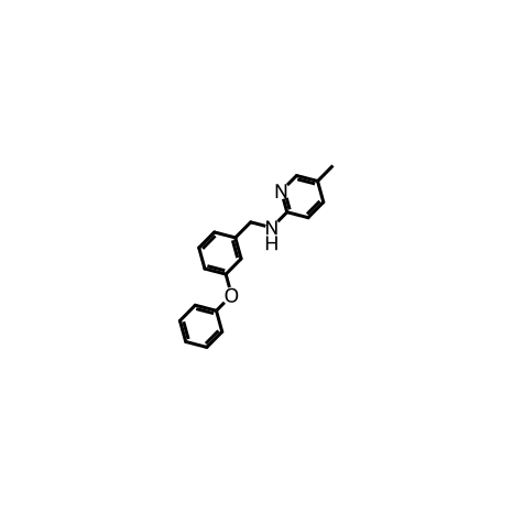 Cc1ccc(NCc2cccc(Oc3ccccc3)c2)nc1